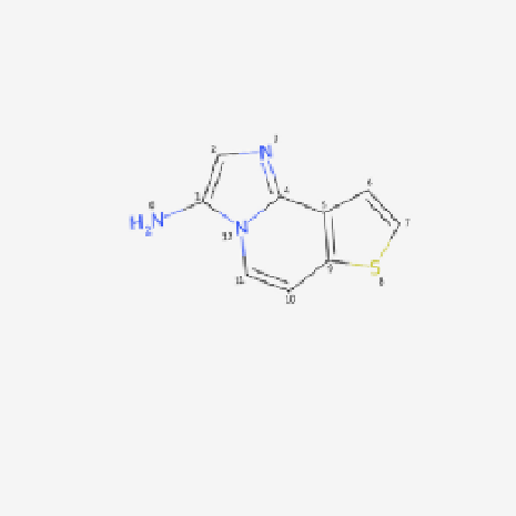 Nc1cnc2c3ccsc3ccn12